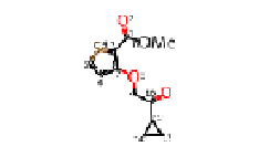 COC(=O)c1sccc1OCC(=O)C1CC1